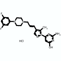 Cc1c(/C=C/CN2CCN(c3cc(F)cc(F)c3)CC2)cnn1-c1cc(O)nc(N)n1.Cl